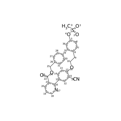 CS(=O)(=O)Oc1ccc(CCOc2ccc(-c3ncccc3C(=O)OCc3ccccc3)cc2C#N)cc1